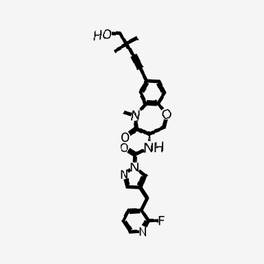 CN1C(=O)[C@@H](NC(=O)n2cc(Cc3cccnc3F)cn2)COc2ccc(C#CC(C)(C)CO)cc21